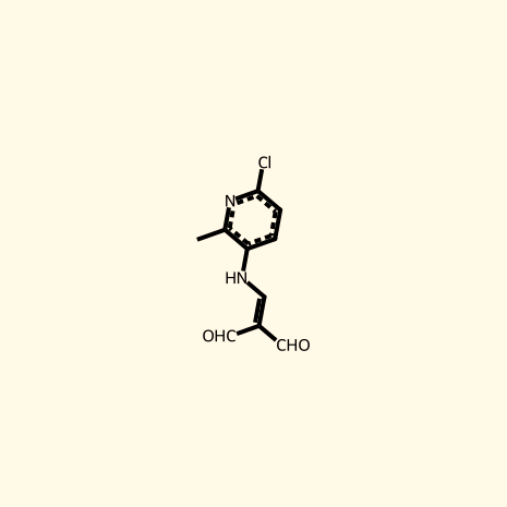 Cc1nc(Cl)ccc1NC=C(C=O)C=O